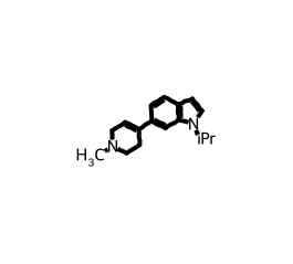 CC(C)n1ccc2ccc(C3=CCN(C)CC3)cc21